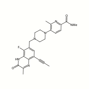 CC#Cc1cc(CN2CCN(c3ccc(C(=O)NC)nc3C)CC2)c(F)c2[nH]c(=O)c(C)nc12